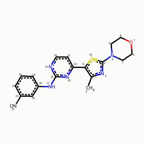 Cc1nc(N2CCOCC2)sc1-c1ccnc(Nc2cccc(N=O)c2)n1